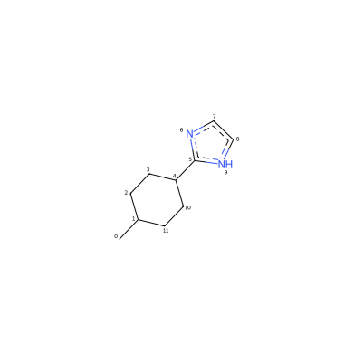 CC1CCC(c2ncc[nH]2)CC1